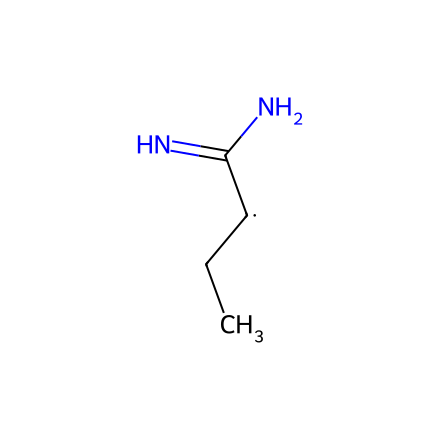 CC[CH]C(=N)N